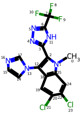 Cn1c(-c2nnc(C(F)(F)F)[nH]2)c(-n2ccnc2)c2cc(Cl)c(Cl)cc21